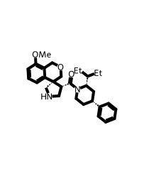 CCC(CC)[C@@H]1C[C@H](c2ccccc2)CCN1C(=O)[C@@H]1CNC[C@]12COCc1c(OC)cccc12